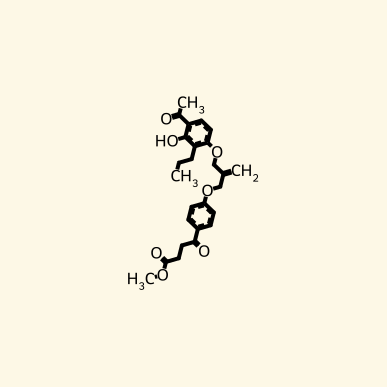 C=C(COc1ccc(C(=O)CCC(=O)OC)cc1)COc1ccc(C(C)=O)c(O)c1CCC